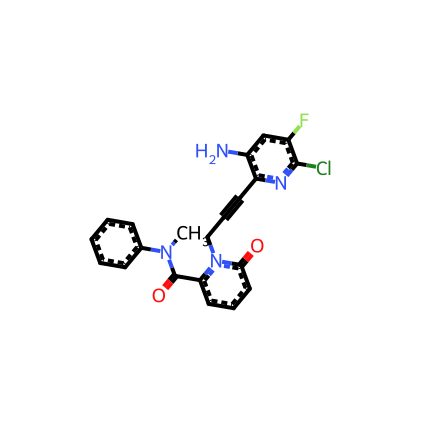 CN(C(=O)c1cccc(=O)n1CC#Cc1nc(Cl)c(F)cc1N)c1ccccc1